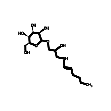 CCCCC=CNCC(O)CO[C@H]1O[C@H](CO)[C@H](O)[C@H](O)[C@H]1O